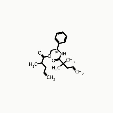 C=CCC(C)C(=O)OC[C@H](NC(=O)C(C)(C)CC=C)c1ccccc1